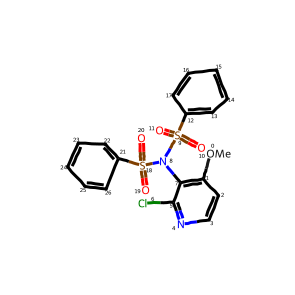 COc1ccnc(Cl)c1N(S(=O)(=O)c1ccccc1)S(=O)(=O)c1ccccc1